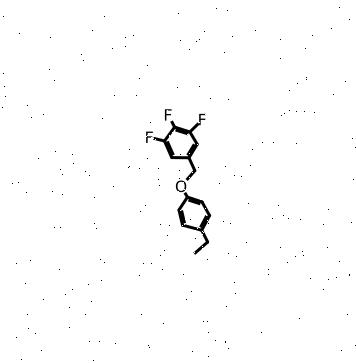 CCc1ccc(OCc2cc(F)c(F)c(F)c2)cc1